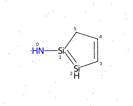 [NH][Si]1=[SiH]C=CC1